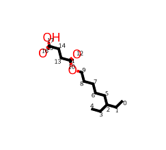 CCC(CC)CCCCCOC(=O)CCC(=O)O